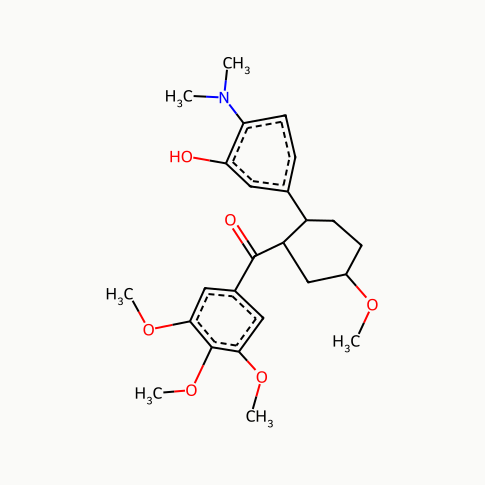 COc1cc(C(=O)C2CC(OC)CCC2c2ccc(N(C)C)c(O)c2)cc(OC)c1OC